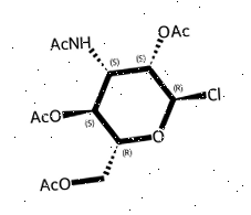 CC(=O)N[C@@H]1[C@H](OC(C)=O)[C@@H](Cl)O[C@H](COC(C)=O)[C@H]1OC(C)=O